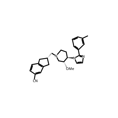 CO[C@@H]1CN(C[C@H]2Cc3ccc(C#N)cc3C2)CC[C@H]1n1ccnc1-c1cccc(C)c1